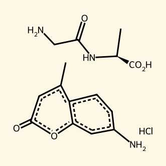 C[C@H](NC(=O)CN)C(=O)O.Cc1cc(=O)oc2cc(N)ccc12.Cl